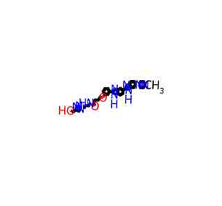 CN1CCN(c2ccc3nc(-c4ccc5[nH]c(-c6cccc(OCCCC(=O)NCCCn7cc(CO)nn7)c6)nc5c4)[nH]c3c2)CC1